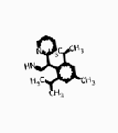 Cc1cc(C(C)C)c(C(C=N)c2ccccn2)c(C(C)C)c1